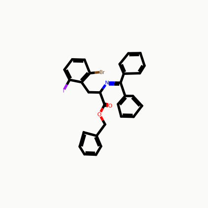 O=C(OCc1ccccc1)C(Cc1c(Br)cccc1I)N=C(c1ccccc1)c1ccccc1